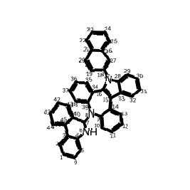 c1ccc2c(c1)NC(N1c3ccccc3-c3c(n(-c4ccc5ccccc5c4)c4ccccc34)-c3ccccc31)c1ccccc1-2